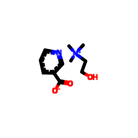 C[N+](C)(C)CCO.O=C([O-])c1cccnc1